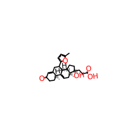 Cc1ccc(C2CC3=CC(=O)CC[C@]3(C)C3=CC[C@@]4(C)[C@@H](CC[C@]4(O)CCC(=O)O)[C@@H]32)o1